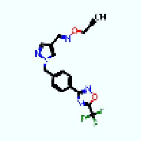 C#CCON=Cc1cnn(Cc2ccc(-c3noc(C(F)(F)F)n3)cc2)c1